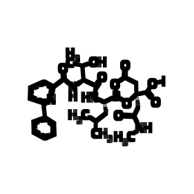 CNC(=O)C[C@@]1(C(=O)OI)CC(=O)OB([C@H](CC(C)C)NC(=O)[C@@H](NC(=O)c2cccc(-c3ccccc3)n2)[C@@H](C)O)O1